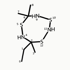 CCC1(C)NSC(C)(C)NSNS1